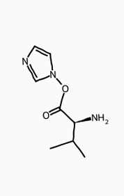 CC(C)[C@H](N)C(=O)On1ccnc1